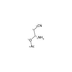 CC(=O)OCCC#N.N